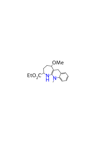 CCOC(=O)C1CCC(OC)C2=C(N1)N(C)c1ccccc1C2